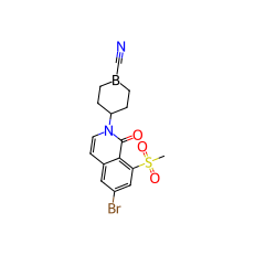 CS(=O)(=O)c1cc(Br)cc2ccn(C3CCB(C#N)CC3)c(=O)c12